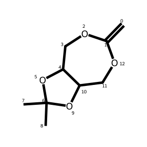 C=C1OCC2OC(C)(C)OC2CO1